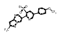 CCS(=O)(=O)c1cc(-c2ccc(OC(F)(F)F)cc2)cnc1-c1cnc2cc(C(F)(F)F)nn2c1